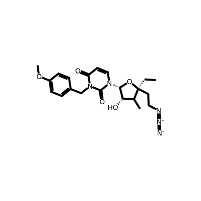 CC[C@@]1(CCN=[N+]=[N-])O[C@@H](n2ccc(=O)n(Cc3ccc(OC)cc3)c2=O)[C@@H](O)C1C